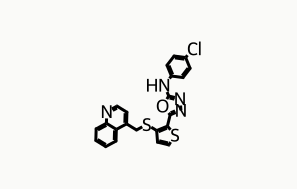 Clc1ccc(Nc2nnc(-c3sccc3SCc3ccnc4ccccc34)o2)cc1